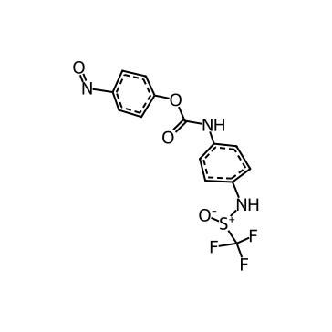 O=Nc1ccc(OC(=O)Nc2ccc(N[S+]([O-])C(F)(F)F)cc2)cc1